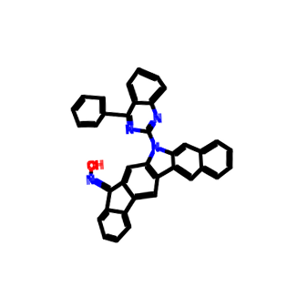 O/N=C1/c2ccccc2-c2cc3c4cc5ccccc5cc4n(-c4nc(-c5ccccc5)c5ccccc5n4)c3cc21